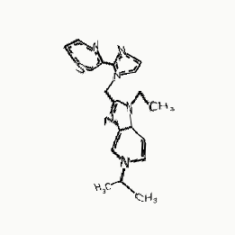 CCN1C(Cn2ccnc2-c2nccs2)=NC2=CN(C(C)C)C=CC21